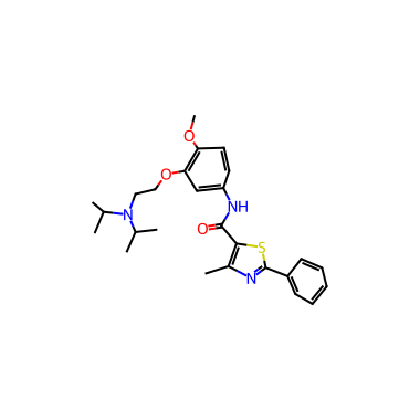 COc1ccc(NC(=O)c2sc(-c3ccccc3)nc2C)cc1OCCN(C(C)C)C(C)C